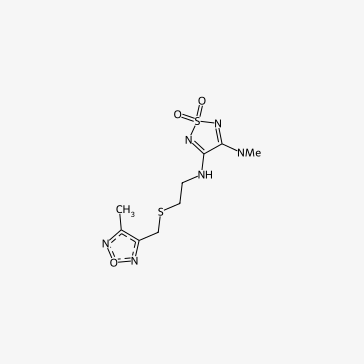 CNC1=NS(=O)(=O)N=C1NCCSCc1nonc1C